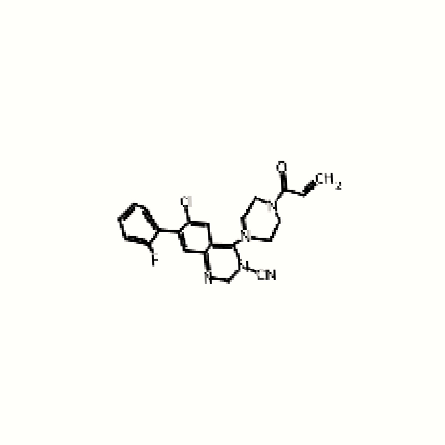 C=CC(=O)N1CCN(C2=c3cc(Cl)c(-c4ccccc4F)cc3=NCN2C#N)CC1